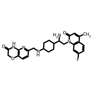 Cc1cc(=O)n(CC(N)C2CCC(NCc3ccc4c(n3)NC(=O)CO4)CC2)c2cc(F)ccc12